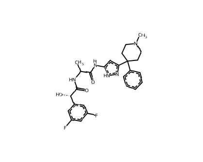 CC(NC(=O)[C@@H](O)c1cc(F)cc(F)c1)C(=O)Nc1cc(C2(c3ccccc3)CCN(C)CC2)n[nH]1